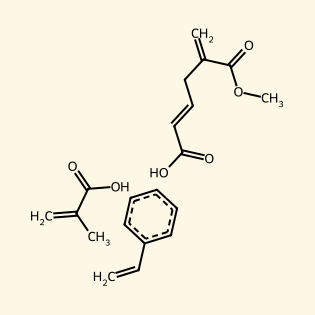 C=C(C)C(=O)O.C=C(CC=CC(=O)O)C(=O)OC.C=Cc1ccccc1